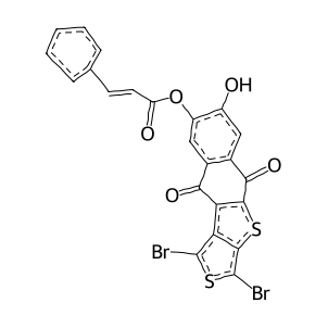 O=C(C=Cc1ccccc1)Oc1cc2c(cc1O)C(=O)c1sc3c(Br)sc(Br)c3c1C2=O